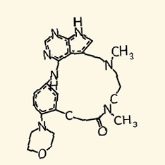 CN1CCCN(C)C(=O)CCc2cc(ccc2N2CCOCC2)Nc2ncnc3[nH]cc(c23)C1